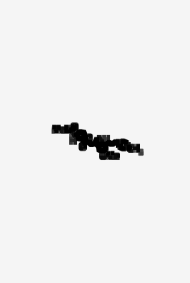 CNC(=O)Nc1ccc2c(c1)C(=O)/C(=C/c1c[nH]c3c(/C=C/CN4CCN(C)CC4)cc(OC)cc13)O2